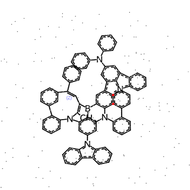 CC1=C2/C=C(/c3ccccc3)c3cccc(c3)-c3ccccc3N1c1cc(-n3c4ccccc4c4ccccc43)cc3c1B2c1cc2c4cc(N(c5ccccc5)c5ccccc5)cc5c6ccccc6n(c2cc1N3c1ccccc1-c1ccccc1)c54